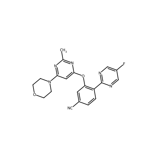 Cc1nc(Oc2cc(C#N)ccc2-c2ncc(F)cn2)cc(N2CCOCC2)n1